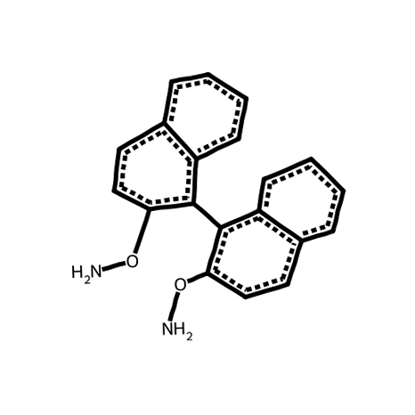 NOc1ccc2ccccc2c1-c1c(ON)ccc2ccccc12